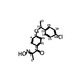 CC(=NO)C(=O)c1ccc(OC(C)c2ccc(Cl)cc2)cc1